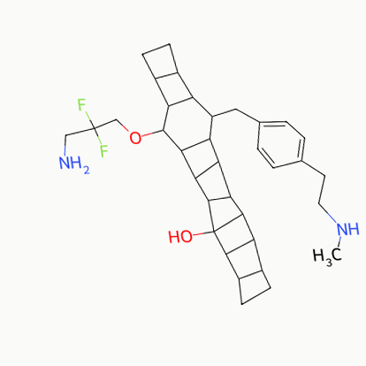 CNCCc1ccc(CC2C3C4CCC4C3C(OCC(F)(F)CN)C3C2C2C3C3C2C2C4C5CCC5C4C32O)cc1